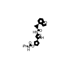 CC(C)NC(=O)O[C@H]1CC[C@H](c2cc(NC(=O)[C@@H]3C[C@H]3c3cccc4occc34)n[nH]2)C1